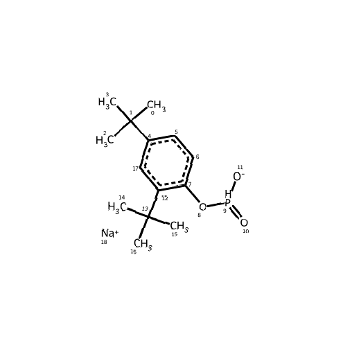 CC(C)(C)c1ccc(O[PH](=O)[O-])c(C(C)(C)C)c1.[Na+]